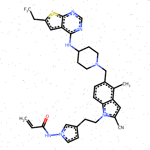 C=CC(=O)Nn1ccc(CCn2c(C#N)cc3c(C)c(CN4CCC(Nc5ncnc6sc(CC(F)(F)F)cc56)CC4)ccc32)c1